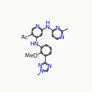 COc1c(Nc2cc(Nc3ccnc(C)n3)ncc2C(C)=O)cccc1-c1ncn(C)n1